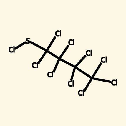 ClSC(Cl)(Cl)C(Cl)(Cl)C(Cl)(Cl)C(Cl)(Cl)Cl